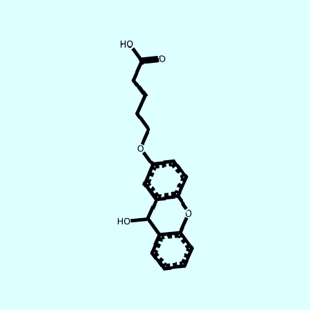 O=C(O)CCCCOc1ccc2c(c1)C(O)c1ccccc1O2